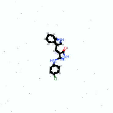 O=C1NN=C(Nc2ccc(Cl)cc2)/C1=C/c1c[nH]c2ccccc12